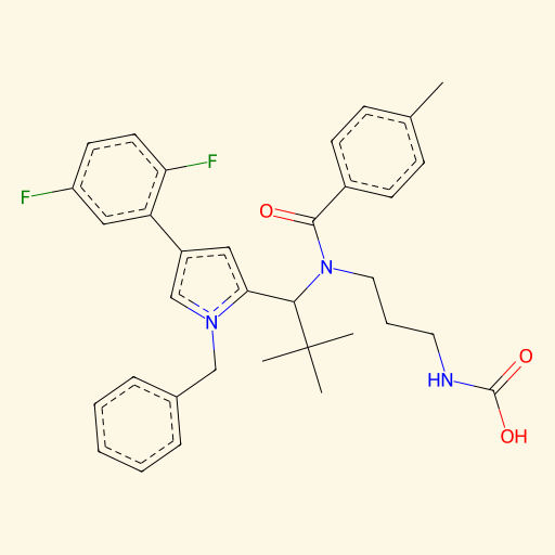 Cc1ccc(C(=O)N(CCCNC(=O)O)C(c2cc(-c3cc(F)ccc3F)cn2Cc2ccccc2)C(C)(C)C)cc1